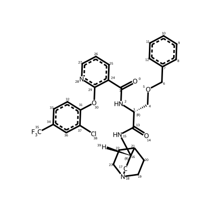 O=C(N[C@H](COCc1ccccc1)C(=O)N[C@H]1CN2CCC1CC2)c1cccnc1Oc1ccc(C(F)(F)F)cc1Cl